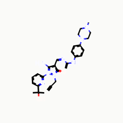 C#CCn1c(=O)c(/C=N\C(=C)Nc2ccc(N3CCN(C)CC3)cc2)c(N)n1-c1cccc(C(C)(C)O)n1